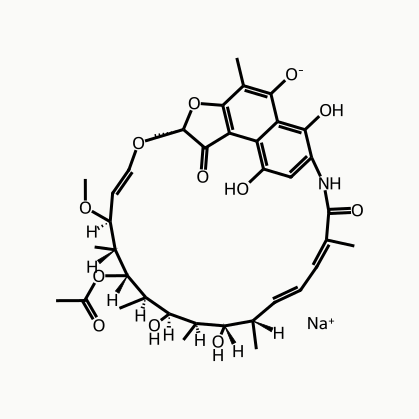 CO[C@H]1/C=C/O[C@@]2(C)Oc3c(C)c([O-])c4c(O)c(cc(O)c4c3C2=O)NC(=O)/C(C)=C\C=C\[C@H](C)[C@H](O)[C@@H](C)[C@@H](O)[C@@H](C)[C@H](OC(C)=O)[C@@H]1C.[Na+]